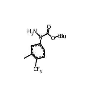 Cc1cc(N(N)C(=O)OC(C)(C)C)ccc1C(F)(F)F